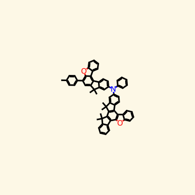 Cc1ccc(-c2cc3c(c4c2oc2ccccc24)-c2ccc(N(c4ccccc4)c4ccc5c(c4)C(C)(C)c4c6c(c7oc8ccccc8c7c4-5)-c4ccccc4C6(C)C)cc2C3(C)C)cc1